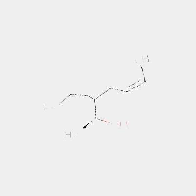 C/C=C\CC(CC)[C@H](C)O